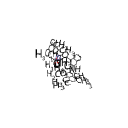 C=C1Oc2cc3c(cc2NC2Cc4ccccc4C(=C2C)c2cccc(/C(=C(\N)C4CC4)c4cc5c(cc4C)C(C)(C)CCC5(C)C)c2-c2cccc1c2C)C(C)(C)CCC3(C)C